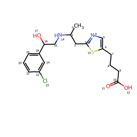 CC(Cc1ncc(CCCC(=O)O)s1)NCC(O)c1cccc(Cl)c1